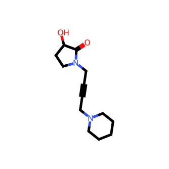 O=C1C(O)CCN1CC#CCN1CCCCC1